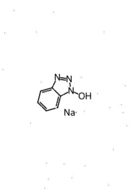 On1nnc2ccccc21.[Na]